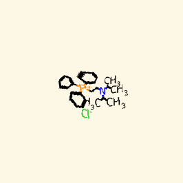 CC(C)N(CC[P+](c1ccccc1)(c1ccccc1)c1ccccc1)C(C)C.[Cl-]